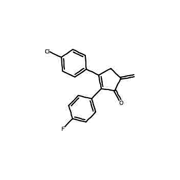 C=C1CC(c2ccc(Cl)cc2)=C(c2ccc(F)cc2)C1=O